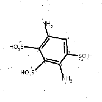 Nc1cc(S(=O)(=O)O)c(N)c(S(=O)(=O)O)c1S(=O)(=O)O